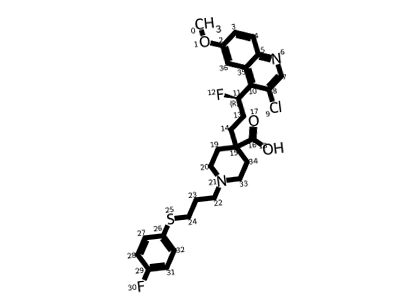 COc1ccc2ncc(Cl)c([C@H](F)CCC3(C(=O)O)CCN(CCCSc4ccc(F)cc4)CC3)c2c1